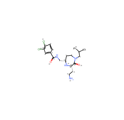 CCC(CN1CC[C@@H](CNC(=O)c2ccc(Cl)c(Cl)c2)N[C@@H](CCN)C1=O)C(C)C